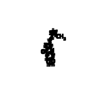 Cc1ccsc1C#Cc1ccc2c(=O)n3c(nc2c1)CCC1(CC3)OCCO1